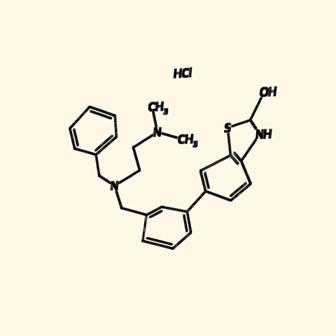 CN(C)CCN(Cc1ccccc1)Cc1cccc(-c2ccc3c(c2)SC(O)N3)c1.Cl